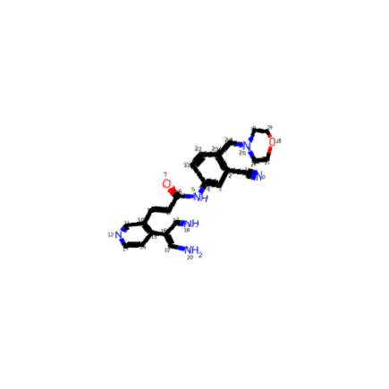 N#Cc1cc(NC(=O)/C=C/c2cnccc2/C(C=N)=C/N)ccc1CN1CCOCC1